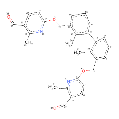 Cc1nc(OCc2cccc(-c3cccc(COc4ccc(C=O)c(C)n4)c3C)c2C)ccc1C=O